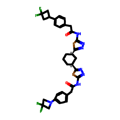 O=C(Cc1ccc(C2CC(F)(F)C2)cc1)Nc1nnc([C@H]2CCC[C@H](c3nnc(NC(=O)Cc4ccc(N5CC(F)(F)C5)cc4)s3)C2)s1